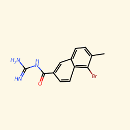 Cc1ccc2cc(C(=O)NC(=N)N)ccc2c1Br